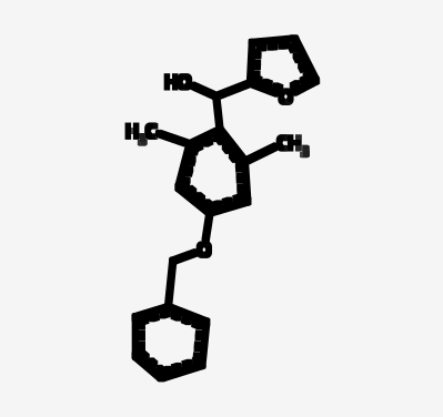 Cc1cc(OCc2ccccc2)cc(C)c1C(O)c1ccco1